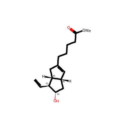 C=C[C@H]1[C@@H]2CC(CCCCC(=O)OC)=C[C@@H]2C[C@@H]1O